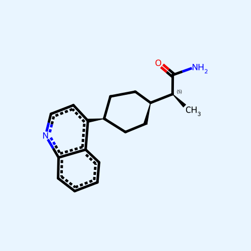 C[C@H](C(N)=O)[C@H]1CC[C@@H](c2ccnc3ccccc32)CC1